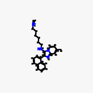 C#[N+]CCCCCCNc1c(-c2cccc3ccccc23)nc2cc(C)ccn12